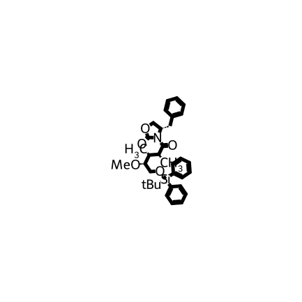 CO[C@@H](CO[Si](c1ccccc1)(c1ccccc1)C(C)(C)C)[C@@H](C)[C@H](C)C(=O)N1C(=O)OC[C@@H]1Cc1ccccc1